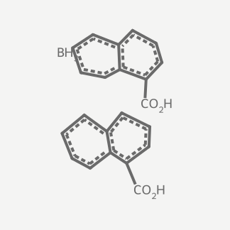 B.O=C(O)c1cccc2ccccc12.O=C(O)c1cccc2ccccc12